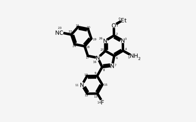 CCOc1nc(N)c2nc(-c3cncc(F)c3)n(Cc3cccc(C#N)c3)c2n1